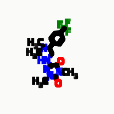 CN(C)C(CNc1nn(C)c(=O)n(C)c1=O)c1ccc(C(F)(F)F)cc1